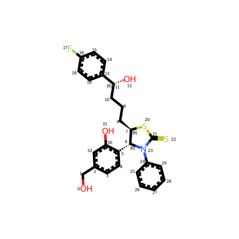 OCc1ccc([C@@H]2[C@@H](CCC[C@@H](O)c3ccc(F)cc3)SC(=S)N2c2ccccc2)c(O)c1